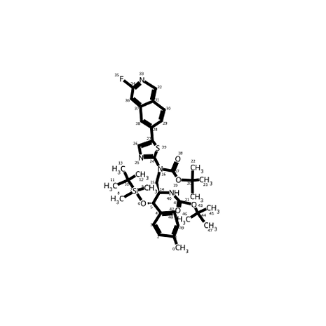 Cc1ccc([C@H](O[Si](C)(C)C(C)(C)C)[C@@H](CN(C(=O)OC(C)(C)C)c2ncc(-c3ccc4cnc(F)cc4c3)s2)NC(=O)OC(C)(C)C)cc1